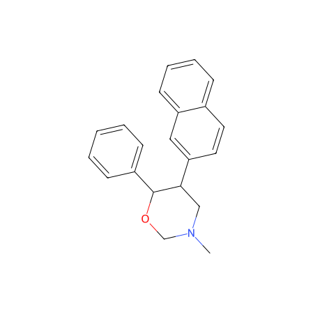 CN1COC(c2ccccc2)C(c2ccc3ccccc3c2)C1